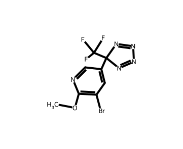 COc1ncc(C2(C(F)(F)F)N=NN=N2)cc1Br